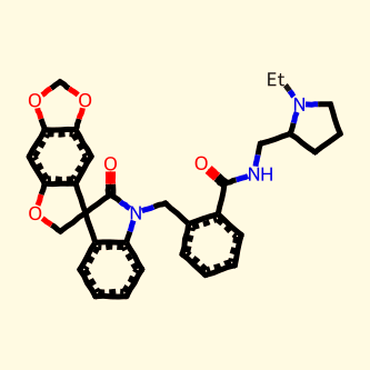 CCN1CCCC1CNC(=O)c1ccccc1CN1C(=O)C2(COc3cc4c(cc32)OCO4)c2ccccc21